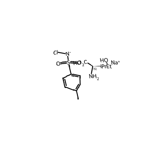 CC(C)[C@H](N)C(=O)O.CCO.Cc1ccc(S(=O)(=O)[N-]Cl)cc1.[Na+]